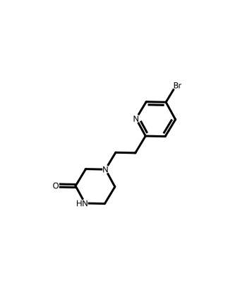 O=C1CN(CCc2ccc(Br)cn2)CCN1